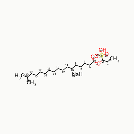 CCC(OC(=O)CCCCCCCCCCCCCCC(C)C)S(=O)(=O)O.[NaH]